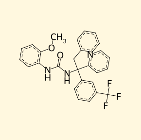 COc1ccccc1NC(=O)NC(Cc1ccccc1)(c1cccc(C(F)(F)F)c1)c1ccccn1